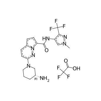 Cn1cc(NC(=O)c2ccc3ccc(N4CCC[C@@H](N)C4)nn23)c(C(F)(F)F)n1.O=C(O)C(F)(F)F